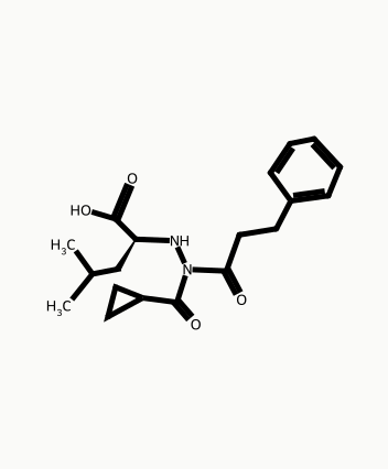 CC(C)C[C@H](NN(C(=O)CCc1ccccc1)C(=O)C1CC1)C(=O)O